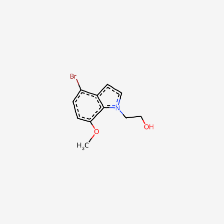 COc1ccc(Br)c2ccn(CCO)c12